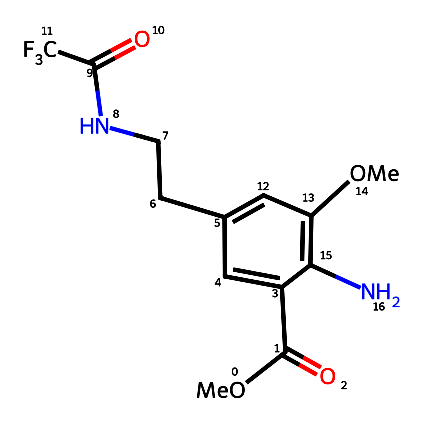 COC(=O)c1cc(CCNC(=O)C(F)(F)F)cc(OC)c1N